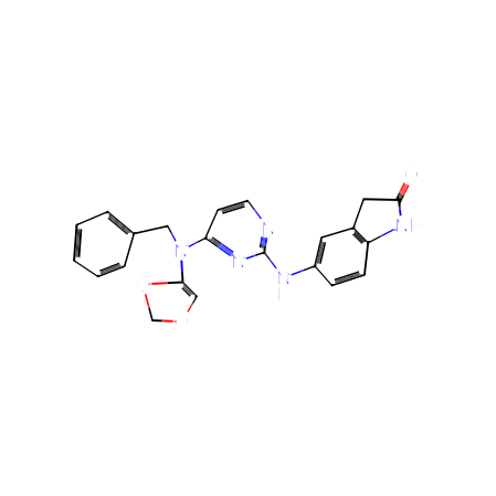 O=C1Cc2cc(Nc3nccc(N(Cc4ccccc4)C4=COCO4)n3)ccc2N1